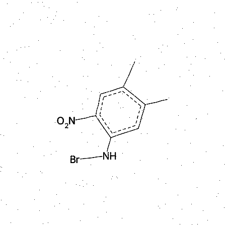 Cc1cc(NBr)c([N+](=O)[O-])cc1C